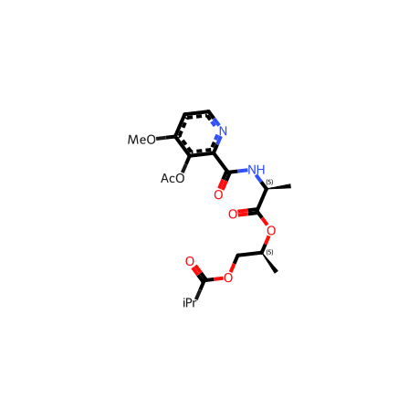 COc1ccnc(C(=O)N[C@@H](C)C(=O)O[C@@H](C)COC(=O)C(C)C)c1OC(C)=O